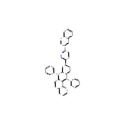 c1ccc(-c2c3cc(-c4ccc(-c5cnc6ccccc6c5)nc4)ccc3c(-c3ccccc3)c3c2ccc2cccnc23)cc1